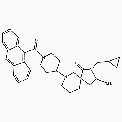 CC1CC2(CCCN(C3CCN(C(=O)c4c5ccccc5cc5ccccc45)CC3)C2)C(=O)N1CC1CC1